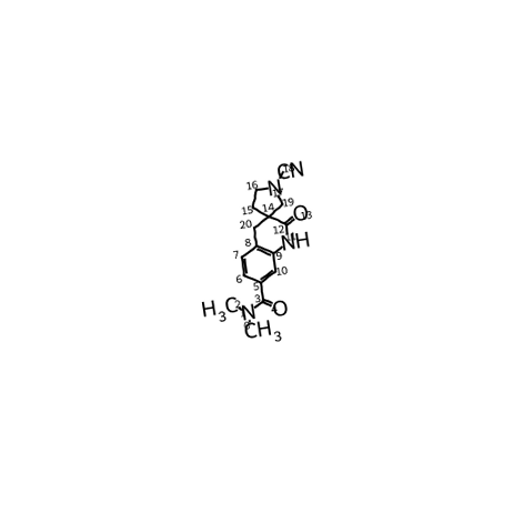 CN(C)C(=O)c1ccc2c(c1)NC(=O)C1(CCN(C#N)C1)C2